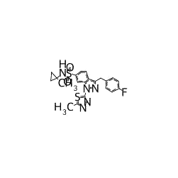 Cc1nnc(-n2nc(Cc3ccc(F)cc3)c3ccc(S(=O)(=O)NC4(C)CC4)cc32)s1